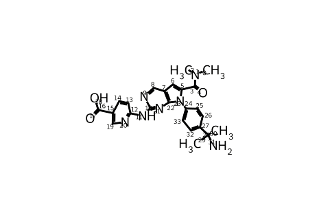 CN(C)C(=O)c1cc2cnc(Nc3ccc(C(=O)O)cn3)nc2n1-c1ccc(C(C)(C)N)cc1